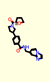 O=C(NCc1ccn2ccnc2c1)c1ccc(C2CCN(C(=O)[C@@H]3CCCO3)C2)cc1